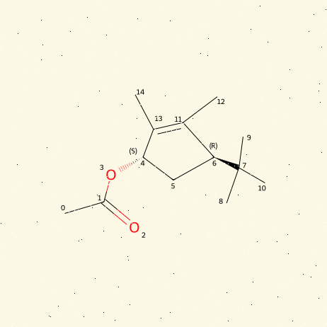 CC(=O)O[C@H]1C[C@H](C(C)(C)C)C(C)=C1C